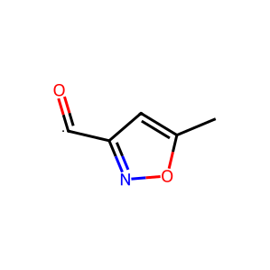 Cc1cc([C]=O)no1